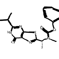 CC(C)c1nc2sc([C@@H](C)N(C)C(=O)Oc3ccccc3)nc2c(=O)[nH]1